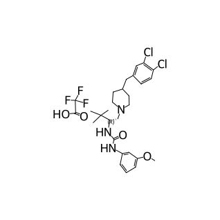 COc1cccc(NC(=O)N[C@@H](CN2CCC(Cc3ccc(Cl)c(Cl)c3)CC2)C(C)(C)C)c1.O=C(O)C(F)(F)F